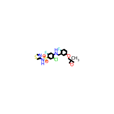 CC1(COc2ccc(F)c(CNc3cc(F)c(S(=O)(=O)Nc4cscn4)cc3Cl)c2)COC1